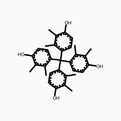 Cc1c(O)ccc(C(c2ccc(O)c(C)c2C)(c2ccc(O)c(C)c2C)c2ccc(O)c(C)c2C)c1C